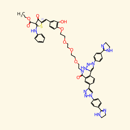 CCOC(=O)C1=C(Nc2ccccc2)S/C(=C\c2ccc(OCCOCCOCCOCCNC(=O)c3cc(-c4cn(-c5ccc(C6=NCCN6)cc5)nn4)ccc3-c3cn(-c4ccc(C5=NCCN5)cc4)nn3)c(O)c2)C1=O